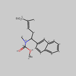 CCOC(=O)C(C)=CCC(c1ccc2ccccc2c1)N(C)C(=O)OC(C)(C)C